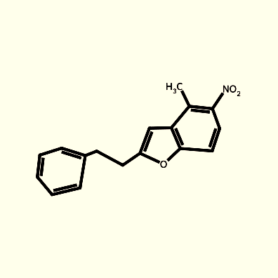 Cc1c([N+](=O)[O-])ccc2oc(CCc3ccccc3)cc12